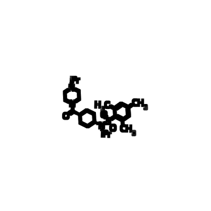 Cc1cc(C)c(S(=O)(=O)N(C(C)C)[C@H]2CC[C@H](C(=O)N3CCN(C(C)C)CC3)CC2)c(C)c1